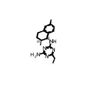 CCc1nc(N)nc(N[C@H]2c3ccc(C)cc3CC[C@@H]2C)n1